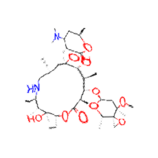 CC[C@H]1OC(=O)[C@H](C)[C@@H](O[C@H]2C[C@@](C)(OC)[C@]3(CO3)[C@H](C)O2)[C@H](C)[C@@H](O[C@@H]2O[C@H](C)C[C@H](N(C)C)[C@H]2C)[C@](C)(O)C[C@@H](C)CN[C@H](C)[C@@H](C)[C@]1(C)O